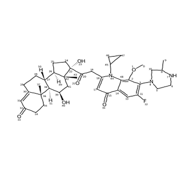 COc1c(N2CCNC(C)C2)c(F)cc2c(=O)cc(CC(=O)[C@]3(O)CC[C@@H]4[C@H]5CCC6=CC(=O)CC[C@@]6(C)[C@@H]5[C@H](O)C[C@]43C)n(C3CC3)c12